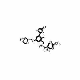 CCc1cnc(-c2cc(OC[C@H]3CNCCO3)cc(CN[C@H](C)c3cnc(C(F)(F)F)nc3)c2F)s1